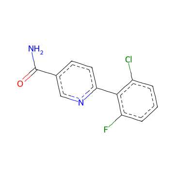 NC(=O)c1ccc(-c2c(F)cccc2Cl)nc1